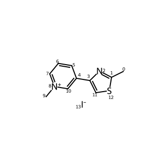 Cc1nc(-c2ccc[n+](C)c2)cs1.[I-]